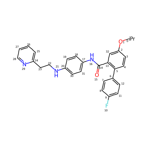 CC(C)Oc1ccc(-c2ccc(F)cc2)c(C(=O)Nc2ccc(NCCc3ccccn3)cc2)c1